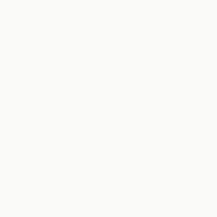 [c]1ccccccccccccccccc1